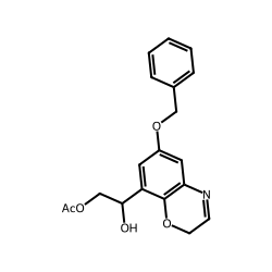 CC(=O)OCC(O)c1cc(OCc2ccccc2)cc2c1OCC=N2